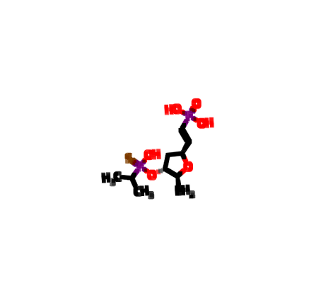 B[C@@H]1O[C@H](/C=C/P(=O)(O)O)C[C@H]1OP(O)(=S)C(C)C